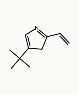 C=CC1=NC=C(C(C)(C)C)C1